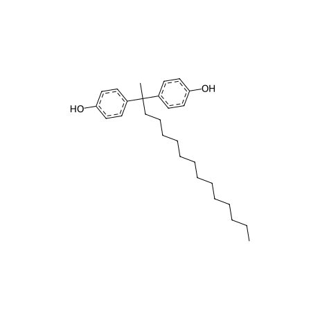 CCCCCCCCCCCCCC(C)(c1ccc(O)cc1)c1ccc(O)cc1